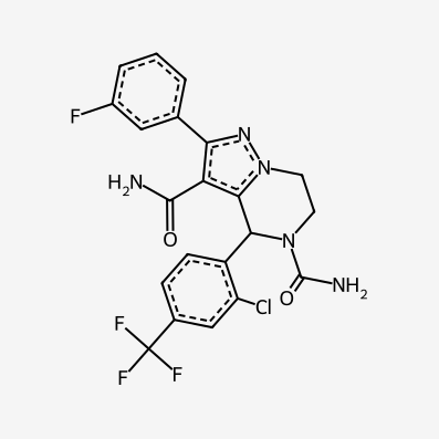 NC(=O)c1c(-c2cccc(F)c2)nn2c1C(c1ccc(C(F)(F)F)cc1Cl)N(C(N)=O)CC2